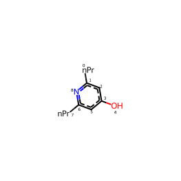 CCCc1cc(O)cc(CCC)n1